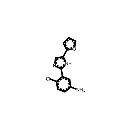 Nc1ccc(Cl)c(-c2ncc(-c3ccco3)[nH]2)c1